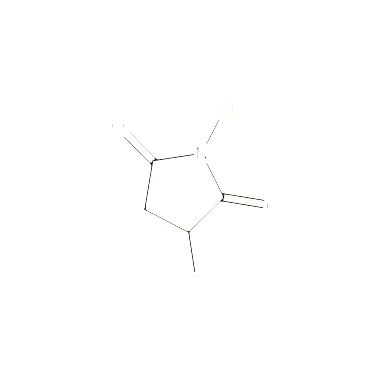 O=C1CC(Cl)C(=O)N1Cl